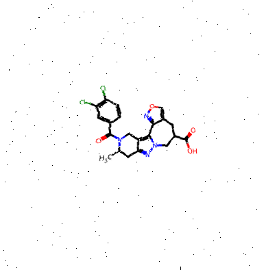 C[C@@H]1Cc2nn3c(c2CN1C(=O)c1ccc(Cl)c(Cl)c1)-c1nocc1CC(C(=O)O)C3